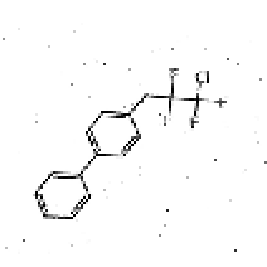 FC(F)(Cl)C(F)(F)Cc1ccc(-c2ccccc2)cc1